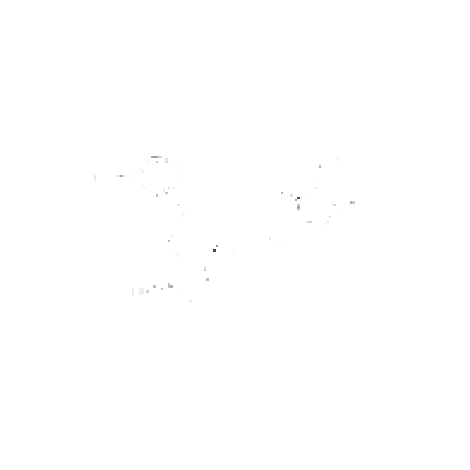 CCCCCCN1C(=N)N(CCCC[C@H]2CNC(=N)N2CCc2cccc(C(F)(F)F)c2)C[C@@H]1CCCC